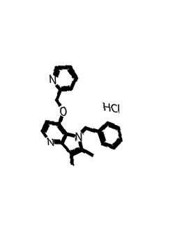 Cc1c(C)n(Cc2ccccc2)c2c(OCc3ccccn3)ccnc12.Cl